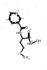 CSCCC(NC(=O)c1cccnc1)C(=O)NO